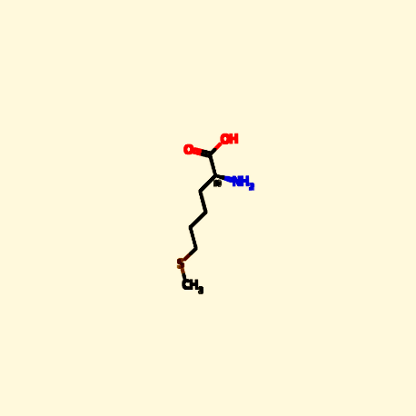 CSCCCC[C@H](N)C(=O)O